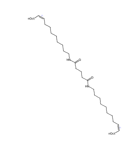 CCCCCCCC/C=C\CCCCCCCCNC(=O)CCCC(=O)NCCCCCCCC/C=C\CCCCCCCC